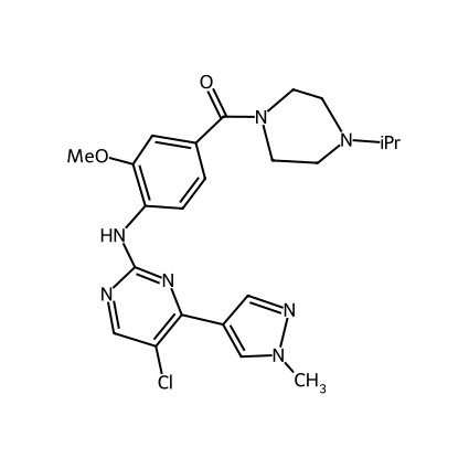 COc1cc(C(=O)N2CCN(C(C)C)CC2)ccc1Nc1ncc(Cl)c(-c2cnn(C)c2)n1